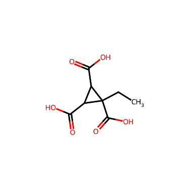 CCC1(C(=O)O)C(C(=O)O)C1C(=O)O